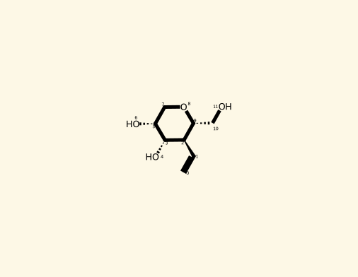 C=C[C@H]1[C@H](O)[C@H](O)CO[C@@H]1CO